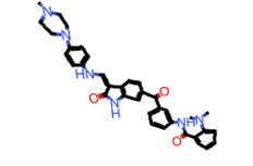 CN1CCN(c2ccc(NC=C3C(=O)Nc4cc(C(=O)c5cccc(NC(=O)c6ccccc6N(C)C)c5)ccc43)cc2)CC1